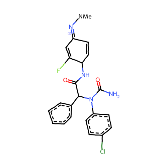 CN/N=C1\C=CC(NC(=O)C(c2ccccc2)N(C(N)=O)c2ccc(Cl)cc2)C(F)=C1